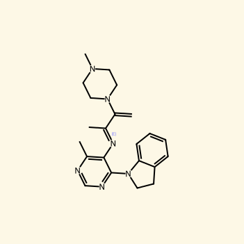 C=C(/C(C)=N/c1c(C)ncnc1N1CCc2ccccc21)N1CCN(C)CC1